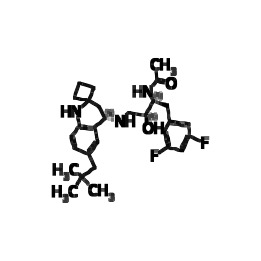 CC(=O)N[C@@H](Cc1cc(F)cc(F)c1)[C@@H](O)CN[C@H]1CC2(CCC2)Nc2ccc(CC(C)(C)C)cc21